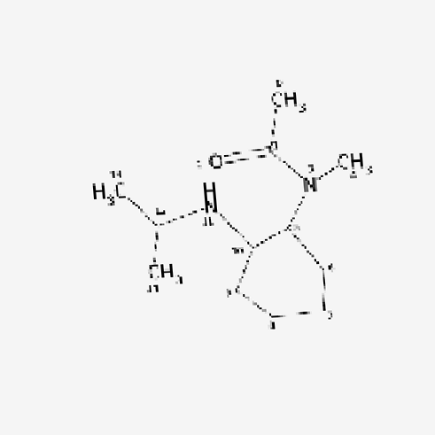 CC(=O)N(C)C1CCCCC1NC(C)C